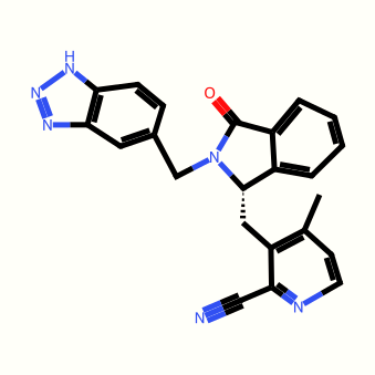 Cc1ccnc(C#N)c1C[C@H]1c2ccccc2C(=O)N1Cc1ccc2[nH]nnc2c1